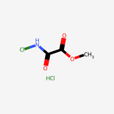 COC(=O)C(=O)NCl.Cl